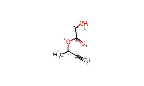 C#CC(C)OC(=O)CO